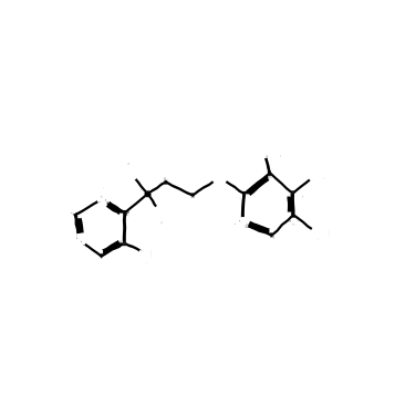 Cc1cncnc1C(C)(C)CCOc1ncc(C)c(C(C)(C)C)c1C